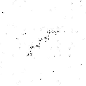 O=C(O)C=CC=CCl